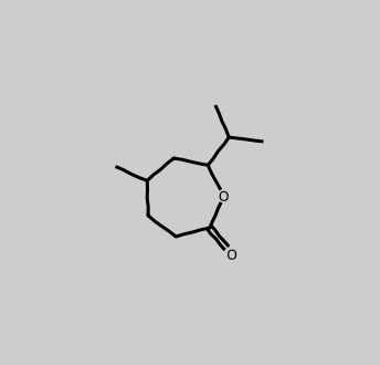 CC1CCC(=O)OC(C(C)C)C1